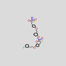 O=C1NC(=O)C(Cc2ccc(OCCc3cccc(OCN4C(=O)SC(Cc5ccc(OCCc6cccc(F)c6)cc5)C4=O)c3)cc2)S1